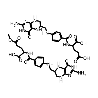 COC(=O)CCC(NC(=O)c1ccc(NCC2CNc3nc(N)[nH]c(=O)c3N2)cc1)C(=O)O.Nc1nc2c(c(=O)[nH]1)NC(CNc1ccc(C(=O)NC(CCC(=O)O)C(=O)O)cc1)CN2